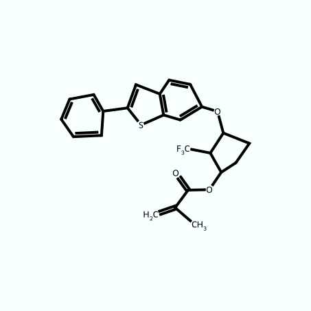 C=C(C)C(=O)OC1CCC(Oc2ccc3cc(-c4ccccc4)sc3c2)C1C(F)(F)F